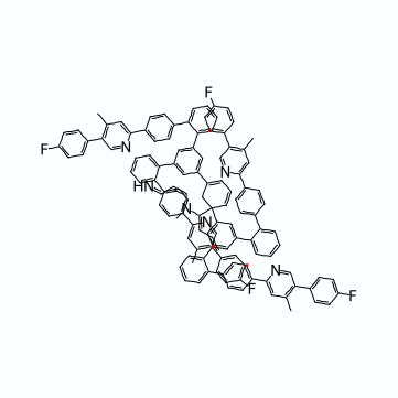 C=C/C=C(/N(C)/C=C\C=N)C1(c2cc(-c3ccccc3-c3ccc(-c4cc(C)c(-c5ccc(F)cc5)cn4)cc3)cc(-c3ccccc3-c3ccc(-c4cc(C)c(-c5ccc(F)cc5)cn4)cc3)c2)C=CC=C(c2cc(-c3ccccc3-c3ccc(-c4cc(C)c(-c5ccc(F)cc5)cn4)cc3)cc(-c3ccccc3-c3ccc(-c4cc(C)c(-c5ccc(F)cc5)cn4)cc3)c2)C1